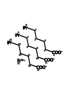 CC(C)CCCCC(=O)[O-].CC(C)CCCCC(=O)[O-].CC(C)CCCCC(=O)[O-].[Er+3]